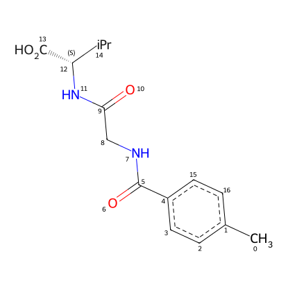 Cc1ccc(C(=O)NCC(=O)N[C@H](C(=O)O)C(C)C)cc1